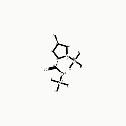 C[C@@H]1C[C@@H](C(=O)O[Si](C)(C)C)N([Si](C)(C)C)C1